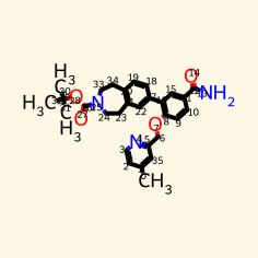 Cc1ccnc(COc2ccc(C(N)=O)cc2-c2ccc3c(c2)CCN(C(=O)OC(C)(C)C)CC3)c1